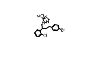 Cl.Clc1ccccc1C(CCc1ccc(Br)cc1)Cn1cncn1